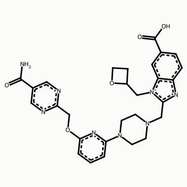 NC(=O)c1cnc(COc2cccc(N3CCN(Cc4nc5ccc(C(=O)O)cc5n4CC4CCO4)CC3)n2)nc1